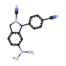 CN(C)c1ccc2c(c1)C(c1ccc(C#N)cc1)N(C#N)C2